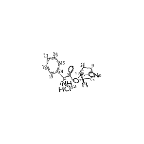 Cl.NC(C(=O)O[C@H]1CN2CCC1CC2)c1ccccc1